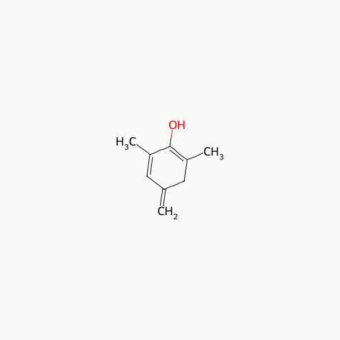 C=C1C=C(C)C(O)=C(C)C1